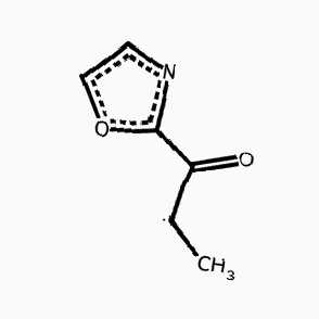 C[CH]C(=O)c1ncco1